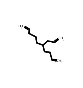 C=CCCCC(CC=C)CCC=C